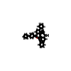 c1ccc(-c2ccc(N3c4ccc(-c5ccccc5)cc4C4(c5ccccc5Nc5ccccc54)c4cc(-c5ccccc5)ccc43)cc2)cc1